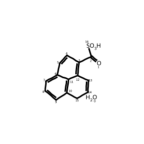 O.O=C(c1ccc2cccc3c2c1C=CC3)S(=O)(=O)O